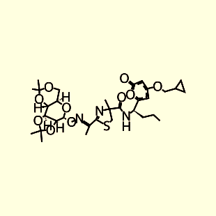 CCC[C@@H](NC(=O)C1(C)CSC(/C(C)=N/O[C@H]2O[C@@H]3COC(C)(C)O[C@H]3[C@@H]3OC(C)(C)O[C@H]23)=N1)c1cc(OCC2CC2)cc(=O)o1